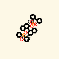 Cc1cc2ccccc2c(-c2c(Op3oc4ccccc4c4ccccc4o3)c(C)cc3ccccc23)c1OP1c2ccccc2Oc2ccccc21